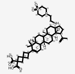 C=C(C)[C@@H]1CC[C@]2(NCCN3CCS(=O)(=O)CC3)CC[C@]3(C)[C@H](CC[C@@H]4[C@@]5(C)CC=C(C6CC7(C6)CC(C(=O)O)(C(=O)O)C7)C(C)(C)[C@@H]5CC[C@]43C)[C@@H]12